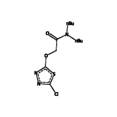 CCCCN(CCCC)C(=O)COc1nnc(Cl)s1